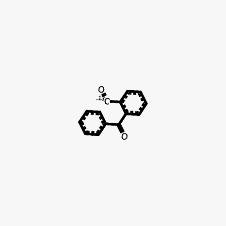 O=[13C]c1ccccc1C(=O)c1ccccc1